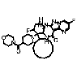 Nc1nn2cc(F)cnc2c1C(=O)NC1CNCC(F)C1(C1CCCCCCCCCC1)N1CCC(C(=O)N2CCOCC2)CC1